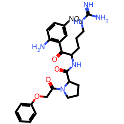 N=C(N)NCCCC(NC(=O)C1CCCN1C(=O)COc1ccccc1)C(=O)c1cc([N+](=O)[O-])ccc1N